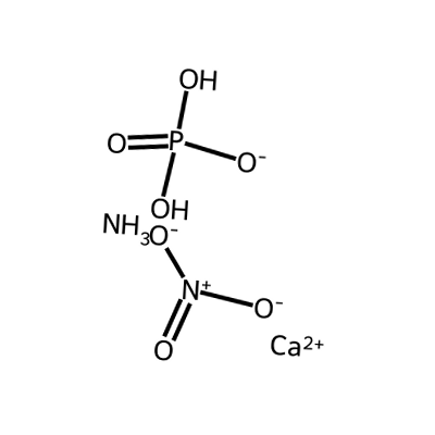 N.O=P([O-])(O)O.O=[N+]([O-])[O-].[Ca+2]